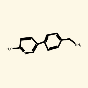 Cc1ccc(-c2ccc(CN)cc2)cn1